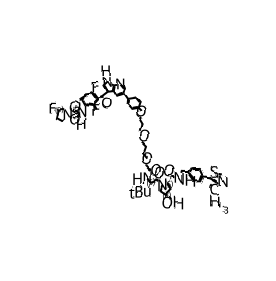 Cc1ncsc1-c1ccc(CNC(=O)[C@@H]2C[C@@H](O)CN2C(=O)[C@@H](NC(=O)COCCCOCCCOc2ccc(-c3cnc4[nH]cc(C(=O)c5c(F)ccc(NS(=O)(=O)N6CC[C@@H](F)C6)c5F)c4c3)cc2)C(C)(C)C)cc1